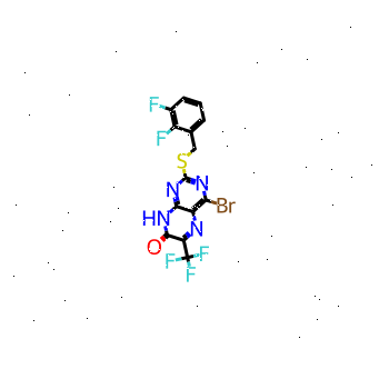 O=c1[nH]c2nc(SCc3cccc(F)c3F)nc(Br)c2nc1C(F)(F)F